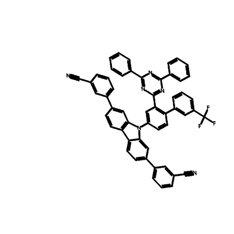 N#Cc1cccc(-c2ccc3c4ccc(-c5cccc(C#N)c5)cc4n(-c4ccc(-c5cccc(C(F)(F)F)c5)c(-c5nc(-c6ccccc6)nc(-c6ccccc6)n5)c4)c3c2)c1